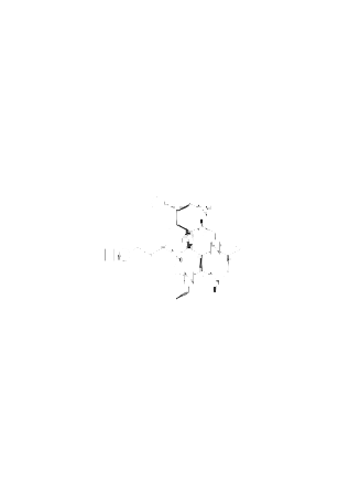 C=CN(C)/C(N=C)=C(\C(=O)N(C)CCCO)N(Cc1ccc(Cl)cn1)C(C)C